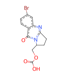 O=C(O)OCC1CCc2nc3cc(Br)ccc3c(=O)n21